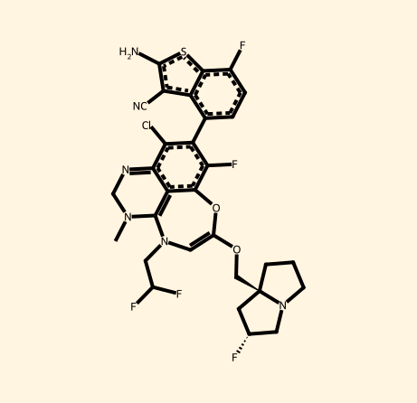 CN1CN=c2c(Cl)c(-c3ccc(F)c4sc(N)c(C#N)c34)c(F)c3c2=C1N(CC(F)F)C=C(OC[C@@]12CCCN1C[C@H](F)C2)O3